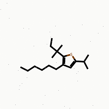 CCCCCCc1cc(C(C)C)sc1C(C)(C)CC